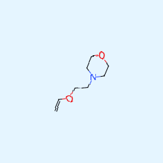 C=COCCN1CCOCC1